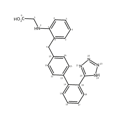 O=C(O)CNc1ccccc1Cc1ccc(-c2ccccc2-c2nnn[nH]2)cc1